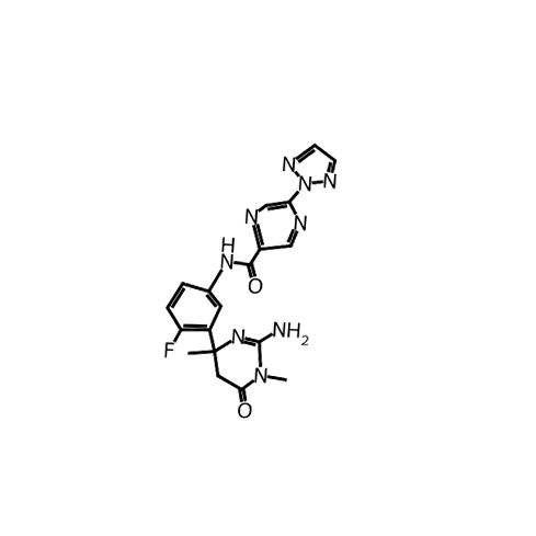 CN1C(=O)CC(C)(c2cc(NC(=O)c3cnc(-n4nccn4)cn3)ccc2F)N=C1N